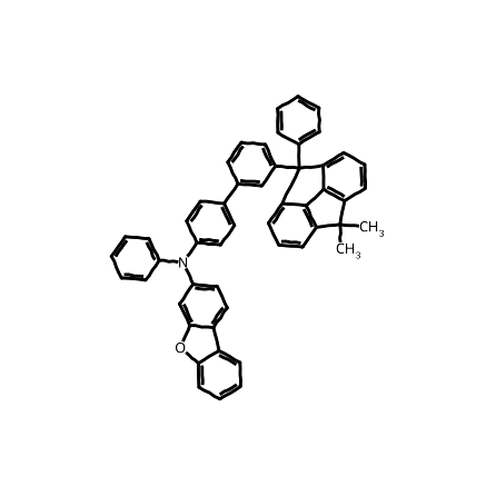 CC1(C)c2cccc3c2-c2c1cccc2C3(c1ccccc1)c1cccc(-c2ccc(N(c3ccccc3)c3ccc4c(c3)oc3ccccc34)cc2)c1